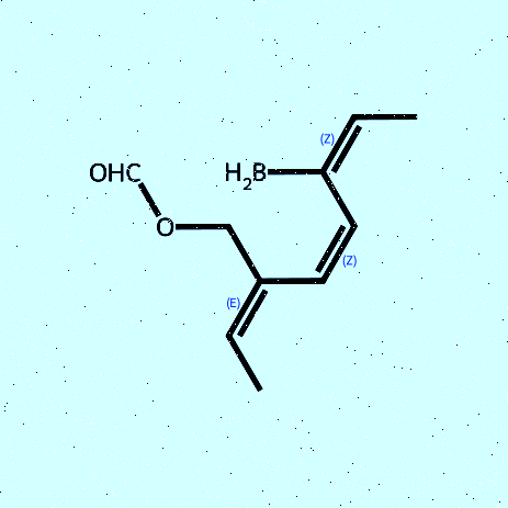 BC(/C=C\C(=C/C)COC=O)=C/C